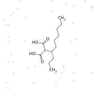 CCCCCCC(CCC)C(C(=O)O)C(=O)O